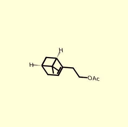 CC(=O)OCCC1=CC[C@H]2C[C@@H]1C2(C)C